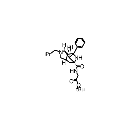 CC(C)CN1C[C@H]2C[C@]3(C(=O)NCC(=O)OC(C)(C)C)NC[C@H]2[C@H]1[C@H]3Cc1ccccc1